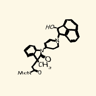 CNC(=O)CC1(C)C(=O)N(C2CCN(C3c4cccc5cccc(c45)[C@@H]3O)CC2)c2ccccc21